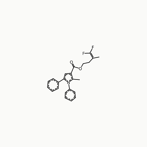 CC(CCOC(=O)c1cc(-c2ccccc2)n(-c2ccccc2)c1C)=C(F)F